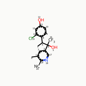 Cc1cc(C(O)(C(C)c2ccc(O)cc2Cl)C(F)(F)F)cnc1C#N